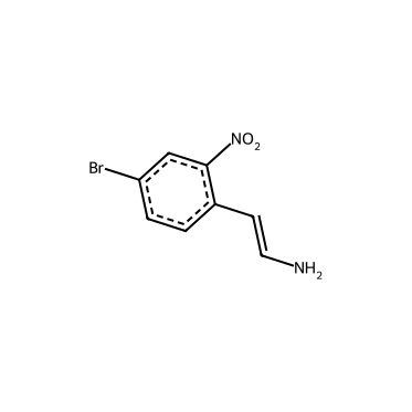 N/C=C/c1ccc(Br)cc1[N+](=O)[O-]